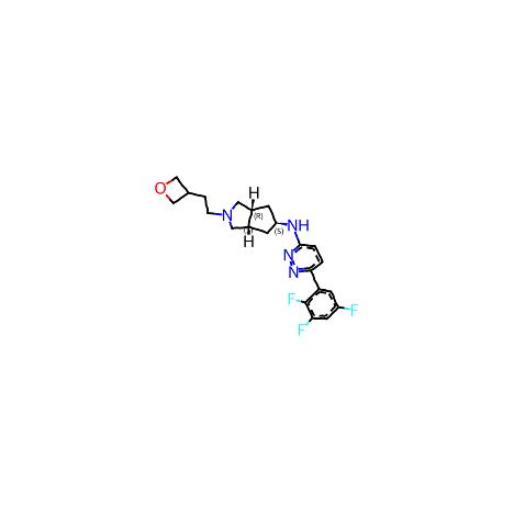 Fc1cc(F)c(F)c(-c2ccc(N[C@H]3C[C@@H]4CN(CCC5COC5)C[C@@H]4C3)nn2)c1